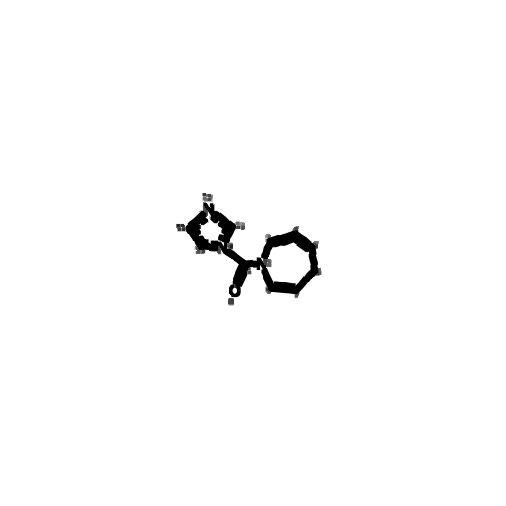 O=C(N1C=C=CCC=C1)n1ccnc1